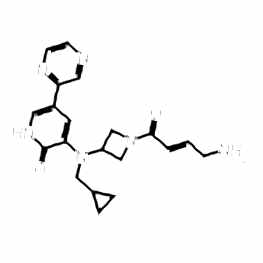 NCC=CC(=O)N1CC(N(CC2CC2)c2cc(-c3cnccn3)c[nH]c2=O)C1